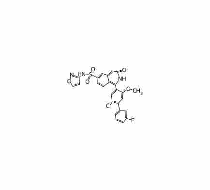 COc1cc(-c2cccc(F)c2)c(Cl)cc1-c1[nH]c(=O)cc2cc(S(=O)(=O)Nc3ccon3)ccc12